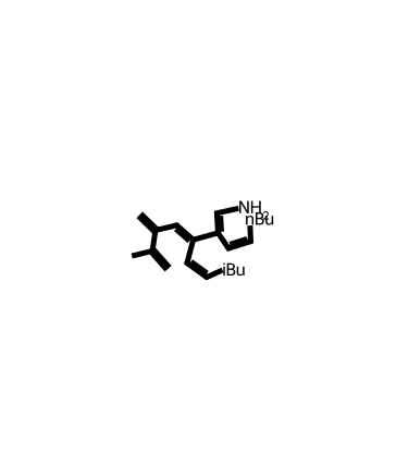 C=C(C)C(=C)/C=C(\C=C/C(C)CC)C(/C=C\CCCC)=C/N